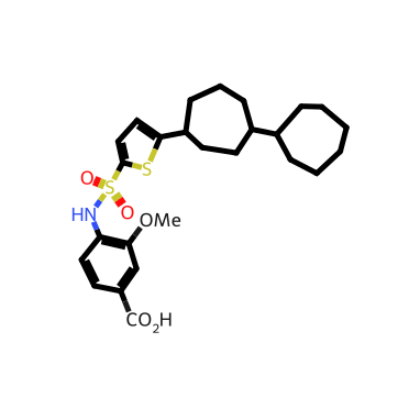 COc1cc(C(=O)O)ccc1NS(=O)(=O)c1ccc(C2CCCC(C3CCCCCC3)CC2)s1